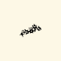 CC1C=C(c2ccc3c(c2)Nc2ncnc(N4CCOCC4)c2CO3)CCN1C(=O)OC(C)(C)C